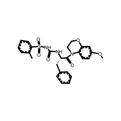 COc1ccc2c(c1)OCCN2C(=O)[C@H](Cc1ccccc1)NC(=O)NS(=O)(=O)c1ccccc1C